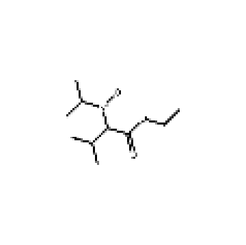 CCOC(=O)C(C(C)C)[S+]([O-])C(C)C